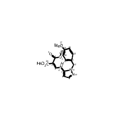 CCC(C)OC(=O)C(=CNc1ccnn1Cc1ccc(OC)cc1)C(=O)O